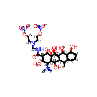 CC1c2cccc(O)c2C(=O)C2=C(O)C3(O)C(=O)C(C(=O)NCN(CCO[N+](=O)[O-])CCO[N+](=O)[O-])=C(O)C(N(C)C)C3C(O)C21